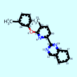 Cc1cccc(Oc2nc(-c3ncc4ccccc4n3)ccc2C)c1